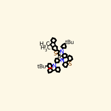 CC(C)(C)c1ccc(N(c2ccc3c(c2)N(c2cccc4sc5ccccc5c24)c2cccc4c2B3c2sc3cc5c(cc3c2N4c2ccc(C(C)(C)C)cc2)-c2ccccc2C5(C)C)c2ccccc2-c2ccccc2)cc1